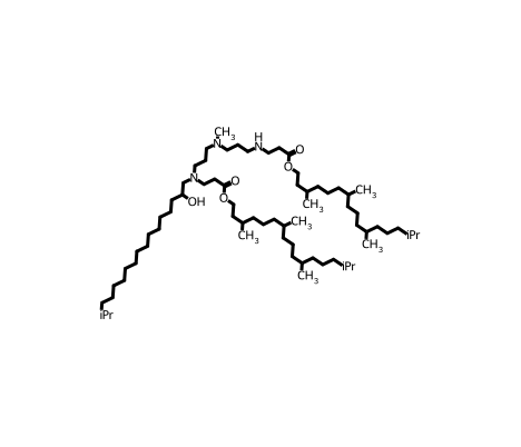 CC(C)CCCCCCCCCCCCCC(O)CN(CCCN(C)CCCNCCC(=O)OCCC(C)CCCC(C)CCCC(C)CCCC(C)C)CCC(=O)OCCC(C)CCCC(C)CCCC(C)CCCC(C)C